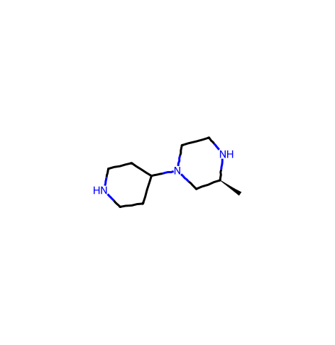 C[C@H]1CN(C2CCNCC2)CCN1